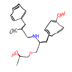 CC(O)COCC(Cc1ccc(O)cc1)NCC(C=O)Cc1ccccc1